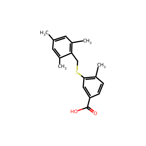 Cc1cc(C)c(CSc2cc(C(=O)O)ccc2C)c(C)c1